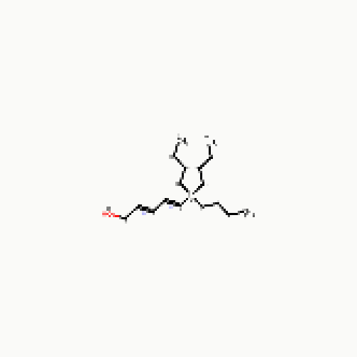 CCC[CH2][Sn](/[CH]=C/C=C/CO)([CH2]CCC)[CH2]CCC